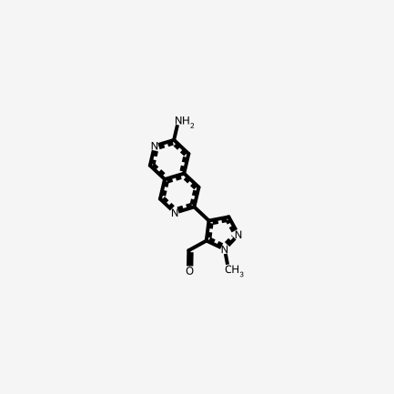 Cn1ncc(-c2cc3cc(N)ncc3cn2)c1C=O